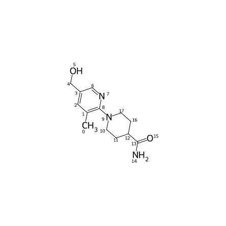 Cc1cc(CO)cnc1N1CCC(C(N)=O)CC1